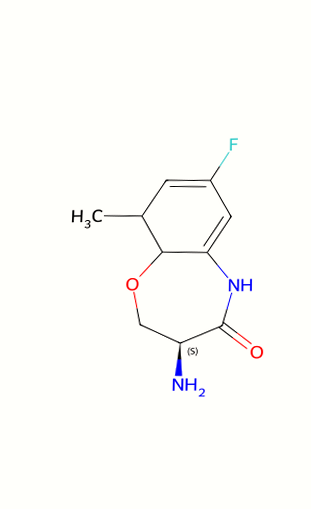 CC1C=C(F)C=C2NC(=O)[C@@H](N)COC21